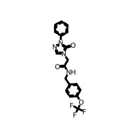 O=C(Cn1cnn(-c2ccccc2)c1=O)NCc1ccc(OC(F)(F)F)cc1